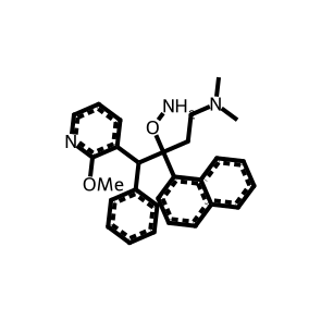 COc1ncccc1C(c1ccccc1)C(CCN(C)C)(ON)c1cccc2ccccc12